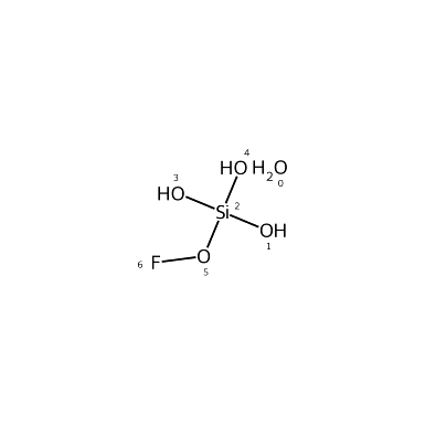 O.O[Si](O)(O)OF